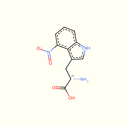 N[C@@H](Cc1c[nH]c2cccc([N+](=O)[O-])c12)C(=O)O